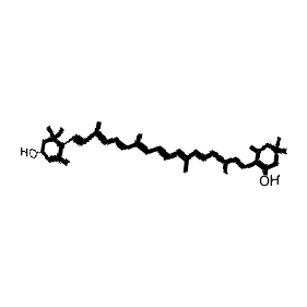 CC1=C[C@H](O)CC(C)(C)[C@H]1/C=C/C(C)=C/C=C/C(C)=C/C=C/C=C(C)/C=C/C=C(C)/C=C/C1=C(O)CC(C)(C)CC1C